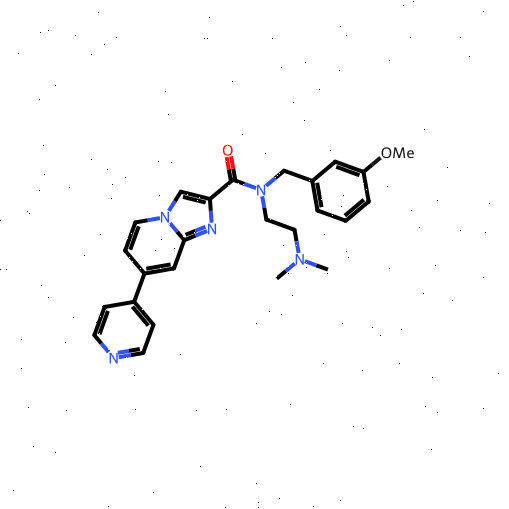 COc1cccc(CN(CCN(C)C)C(=O)c2cn3ccc(-c4ccncc4)cc3n2)c1